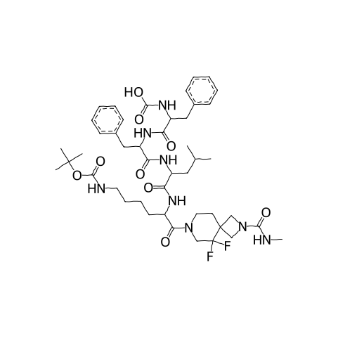 CNC(=O)N1CC2(CCN(C(=O)C(CCCCNC(=O)OC(C)(C)C)NC(=O)C(CC(C)C)NC(=O)C(Cc3ccccc3)NC(=O)C(Cc3ccccc3)NC(=O)O)CC2(F)F)C1